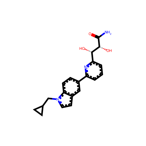 NC(=O)[C@H](O)[C@@H](O)c1cccc(-c2ccc3c(ccn3CC3CC3)c2)n1